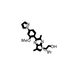 COc1cc(-n2cccn2)ccc1-c1nc2c(C)cn([C@H](CO)C(C)C)c2nc1C